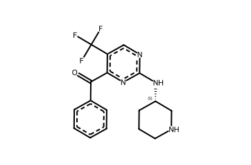 O=C(c1ccccc1)c1nc(N[C@H]2CCCNC2)ncc1C(F)(F)F